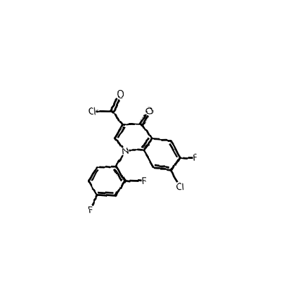 O=C(Cl)c1cn(-c2ccc(F)cc2F)c2cc(Cl)c(F)cc2c1=O